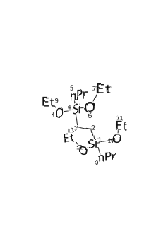 CCC[Si](CC[Si](CCC)(OCC)OCC)(OCC)OCC